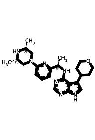 C[C@@H]1CN(c2cccc([C@H](C)Nc3ncnc4[nH]cc(C5CCOCC5)c34)n2)C[C@H](C)N1